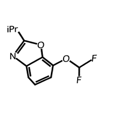 CC(C)c1nc2cccc(OC(F)F)c2o1